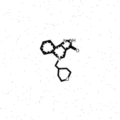 O=c1[nH]nc2c3ccccc3n(CC3CCOCC3)cc1-2